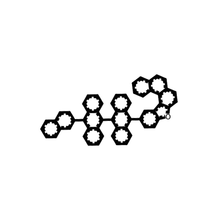 c1ccc2cc(-c3c4ccccc4c(-c4c5ccccc5c(-c5ccc6oc7ccc8ccc9ccccc9c8c7c6c5)c5ccccc45)c4ccccc34)ccc2c1